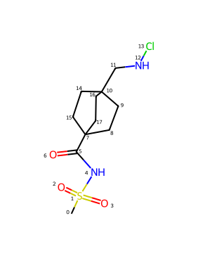 CS(=O)(=O)NC(=O)C12CCC(CNCl)(CC1)CC2